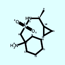 C[C@H](NS(=O)(=O)CC1(N)CCCCC1)C1CC1